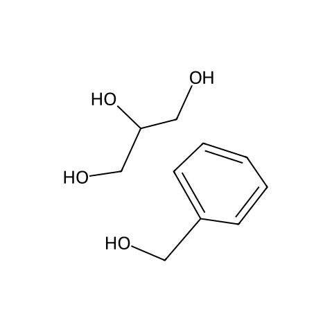 OCC(O)CO.OCc1ccccc1